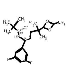 CC1OC(C(C)(C)CC[C@H](N[S@@+]([O-])C(C)(C)C)c2cc(F)cc(F)c2)O1